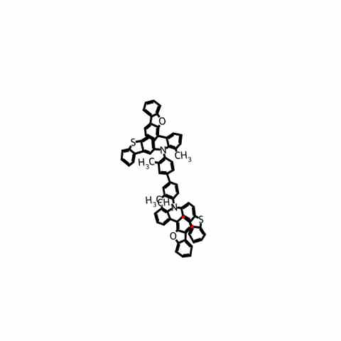 Cc1cc(-c2ccc(N(c3ccc4sc5ccccc5c4c3)c3c(C)cccc3-c3cccc4c3oc3ccccc34)c(C)c2)ccc1N(c1ccc2sc3ccccc3c2c1)c1c(C)cccc1-c1cccc2c1oc1ccccc12